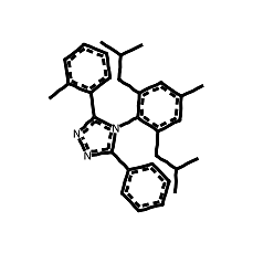 Cc1cc(CC(C)C)c(-n2c(-c3ccccc3)nnc2-c2ccccc2C)c(CC(C)C)c1